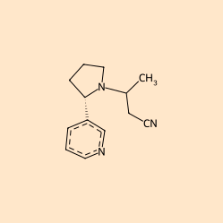 CC(CC#N)N1CCC[C@H]1c1cccnc1